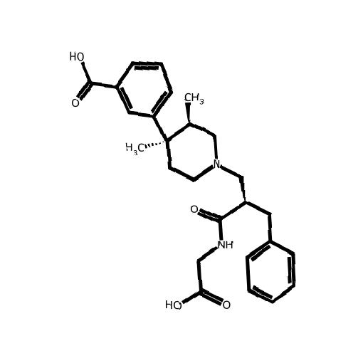 C[C@H]1CN(C[C@@H](Cc2ccccc2)C(=O)NCC(=O)O)CC[C@@]1(C)c1cccc(C(=O)O)c1